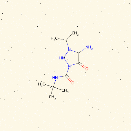 CC(C)N1NN(C(=O)NC(C)(C)C)C(=O)C1N